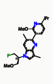 COC[C@@H](CF)n1cc(C)c2nc(-c3ccc(C(C)C)nc3OC)c(C)cc21